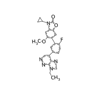 CCn1cnc2c(-c3ccc(F)c(-c4cc5oc(=O)n(C6CC6)c5cc4OC)c3)cnnc21